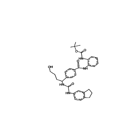 CC(C)(C)OC(=O)Nc1ccccc1NC(=O)c1ccc(C(CCCO)NC(=O)Nc2ccc3c(c2)CCC3)cc1